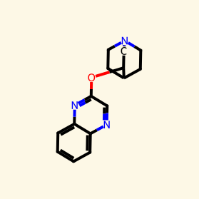 c1ccc2nc(OC3CN4CCC3CC4)cnc2c1